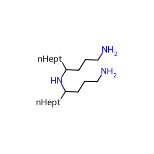 CCCCCCCC(CCCN)NC(CCCN)CCCCCCC